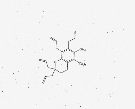 C=CCc1c(CC=C)c(OC)c(C(=O)O)c2c1OC(CC=C)(CC=C)CC2